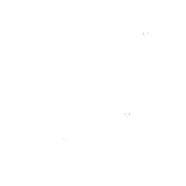 COc1ccc(-c2ccc(N3CCCC3=O)cc2SC)cc1OC1CCCC1